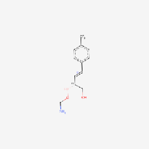 NCOB[C@H](/C=C/c1ccc(C(F)(F)F)cc1)CO